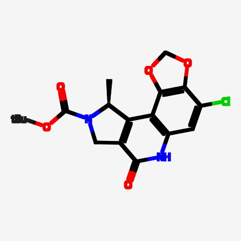 C[C@H]1c2c(c(=O)[nH]c3cc(Cl)c4c(c23)OCO4)CN1C(=O)OC(C)(C)C